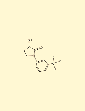 O=C1[C@@H](O)CCN1c1cccc(C(F)(F)F)c1